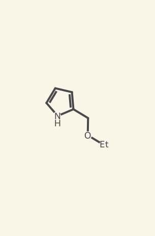 CCOCc1ccc[nH]1